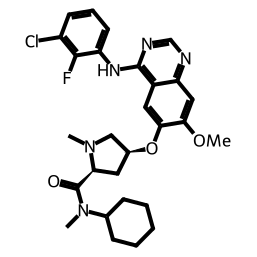 COc1cc2ncnc(Nc3cccc(Cl)c3F)c2cc1O[C@H]1C[C@@H](C(=O)N(C)C2CCCCC2)N(C)C1